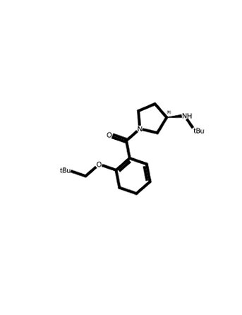 CC(C)(C)COC1=C(C(=O)N2CC[C@@H](NC(C)(C)C)C2)C=CCC1